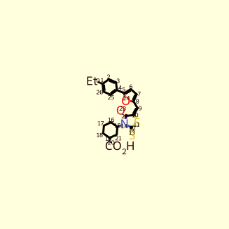 CCc1ccc(-c2ccc(C=C3SC(=S)N(C4CCCC(C(=O)O)C4)C3=O)o2)cc1